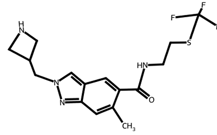 Cc1cc2nn(CC3CNC3)cc2cc1C(=O)NCCSC(F)(F)F